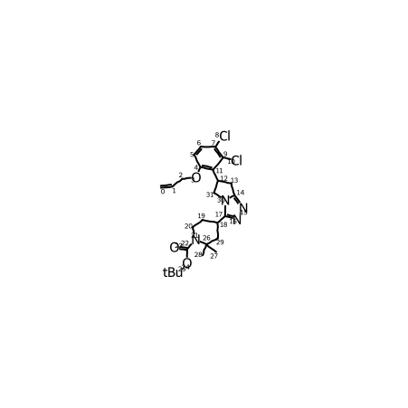 C=CCOc1ccc(Cl)c(Cl)c1C1Cc2nnc(C3CCN(C(=O)OC(C)(C)C)C(C)(C)C3)n2C1